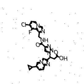 O=C(O)CC(c1cn2cc(C3CC3)ccc2n1)n1cc(C(=O)NCc2ncn3ccc(Cl)c(F)c23)nn1